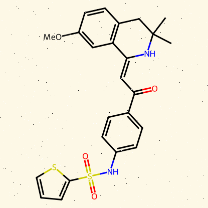 COc1ccc2c(c1)C(=CC(=O)c1ccc(NS(=O)(=O)c3cccs3)cc1)NC(C)(C)C2